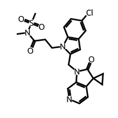 CN(C(=O)CCn1c(CN2C(=O)C3(CC3)c3ccncc32)cc2cc(Cl)ccc21)S(C)(=O)=O